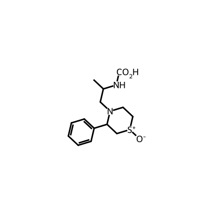 CC(CN1CC[S+]([O-])CC1c1ccccc1)NC(=O)O